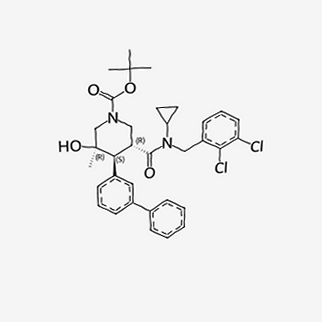 CC(C)(C)OC(=O)N1C[C@H](C(=O)N(Cc2cccc(Cl)c2Cl)C2CC2)[C@@H](c2cccc(-c3ccccc3)c2)[C@@](C)(O)C1